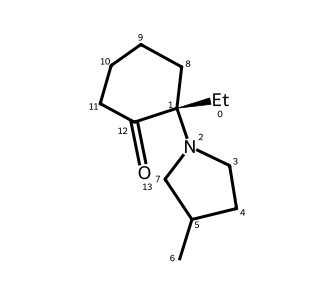 CC[C@]1(N2CCC(C)C2)CCCCC1=O